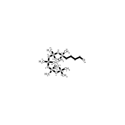 C[Si](C)(C)O[Si](C)(C)O[Si](C)(C)O[Si](C)(C)O[Si](C)(C)CCCC[O]